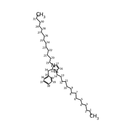 CCCCCCCCCCCCCCCN1C=CN(CCCCCCCCCCCCCC)C1Cc1ccccc1